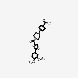 CCOc1ccc(-c2nc(C(=O)N3CCN(c4ccc(C(=O)CC)cc4)CC3)co2)cc1OCC